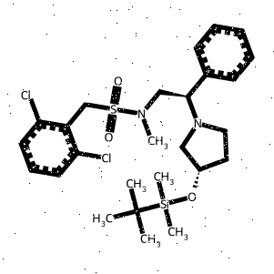 CN(C[C@@H](c1ccccc1)N1CC[C@H](O[Si](C)(C)C(C)(C)C)C1)S(=O)(=O)Cc1c(Cl)cccc1Cl